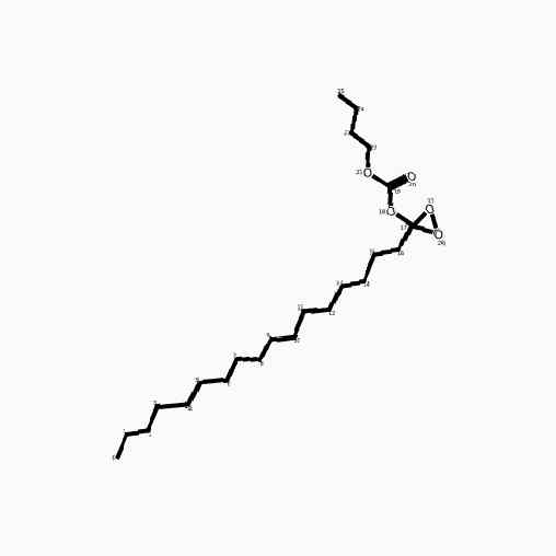 CCCCCCCCCCCCCCCCCC1(OC(=O)OCCCC)OO1